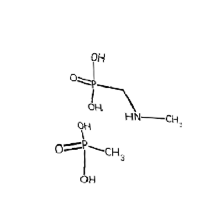 CNCP(=O)(O)O.CP(=O)(O)O